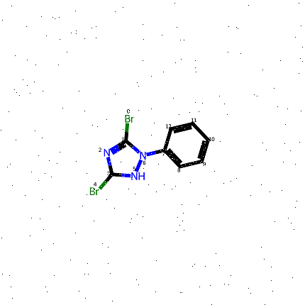 BrC1=NC(Br)NN1c1ccccc1